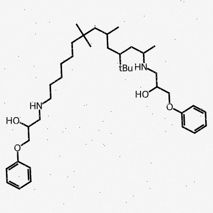 CC([CH]C(C)(C)CCCCCCNCC(O)COc1ccccc1)CC(CC(C)NCC(O)COc1ccccc1)C(C)(C)C